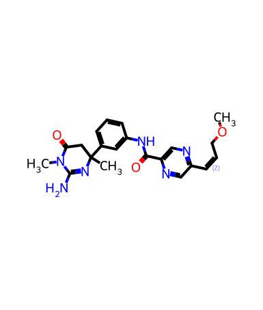 COC/C=C\c1cnc(C(=O)Nc2cccc(C3(C)CC(=O)N(C)C(N)=N3)c2)cn1